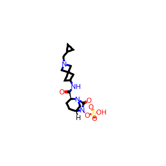 O=C(NC1CC2(C1)CN(CC1CC1)C2)[C@@H]1CC[C@@H]2CN1C(=O)N2OS(=O)(=O)O